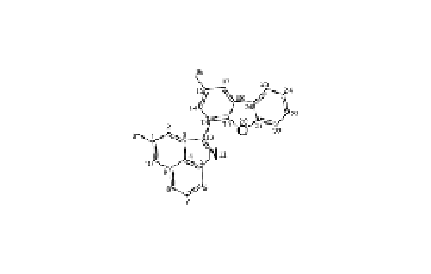 Cc1cc2c3c(cccc3c1)N=C2c1cc(C)cc2c1oc1ccccc12